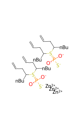 C=CCC(CCCC)S(C(CC=C)CCCC)=P([O-])([O-])[S-].C=CCC(CCCC)S(C(CC=C)CCCC)=P([O-])([O-])[S-].[Zn+2].[Zn+2].[Zn+2]